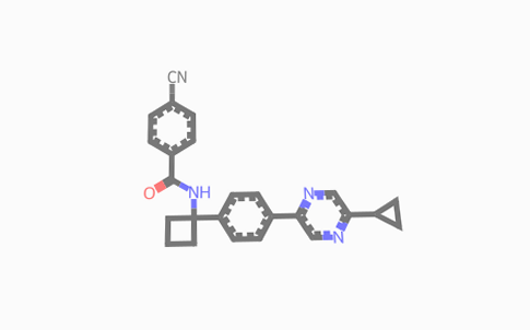 N#Cc1ccc(C(=O)NC2(c3ccc(-c4cnc(C5CC5)cn4)cc3)CCC2)cc1